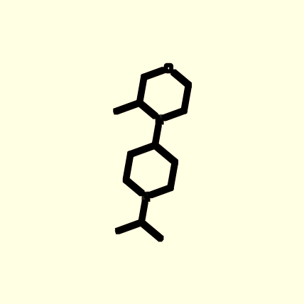 CC(C)N1CCC(N2CCOCC2C)CC1